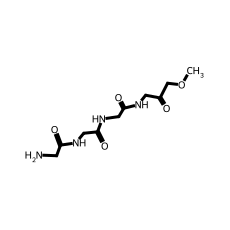 COCC(=O)CNC(=O)CNC(=O)CNC(=O)CN